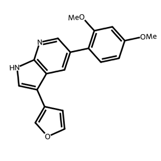 COc1ccc(-c2cnc3[nH]cc(-c4ccoc4)c3c2)c(OC)c1